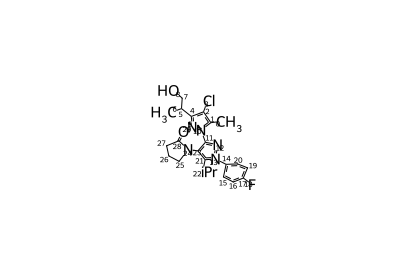 Cc1c(Cl)c(C(C)CO)nn1-c1nn(-c2ccc(F)cc2)c(C(C)C)c1N1CCCC1=O